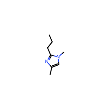 CCCc1nc(C)cn1C